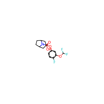 O=C(O)N1C2CCC1CC(Oc1ccc(F)c(OC(F)F)c1)C2